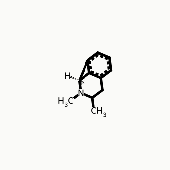 CC1Cc2cccc3c2[C@H]3N1C